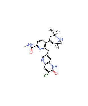 [2H]C1([2H])C=C(c2ccc(C(=O)NC)nc2Cc2cnc3cc(Cl)c(=O)[nH]c3c2)CC([2H])([2H])N1